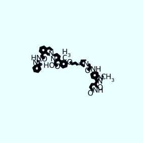 Cc1c(OCCC[C@@H]2CCN(CC(=O)Nc3ccc4c(C5CCC(=O)NC5=O)nn(C)c4c3)C2)cccc1-c1ccc(N2CCc3cccc(C(=O)Nc4nc5ccccc5s4)c3C2)nc1C(=O)O